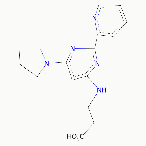 O=C(O)CCNc1cc(N2CCCC2)nc(-c2ccccn2)n1